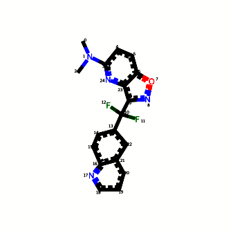 CN(C)c1ccc2onc(C(F)(F)c3ccc4ncccc4c3)c2n1